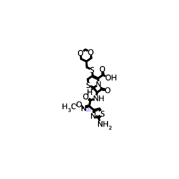 CO/N=C(\C(=O)NC1C(=O)N2C(C(=O)O)=C(SCC3COCOC3)CS[C@@H]12)c1csc(N)n1